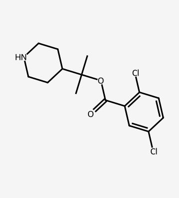 CC(C)(OC(=O)c1cc(Cl)ccc1Cl)C1CCNCC1